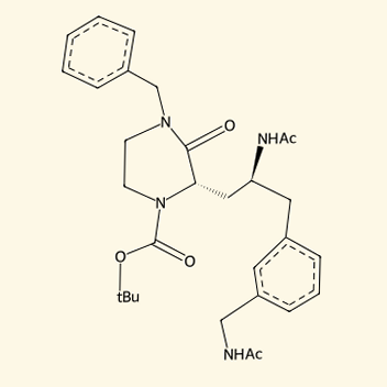 CC(=O)NCc1cccc(C[C@@H](C[C@H]2C(=O)N(Cc3ccccc3)CCN2C(=O)OC(C)(C)C)NC(C)=O)c1